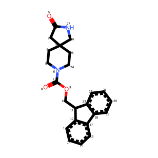 O=C1CC2(CCN(C(=O)OCC3c4ccccc4-c4ccccc43)CC2)CN1